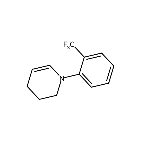 FC(F)(F)c1ccccc1N1C=CCCC1